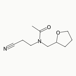 CC(=O)N(CCC#N)CC1CCCO1